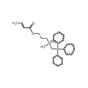 CC=CC(=O)OCCC[Si](C)(C)O[Si](c1ccccc1)(c1ccccc1)c1ccccc1